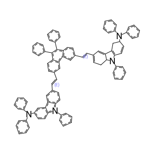 C1=CC(N(c2ccccc2)c2ccccc2)CC2=C1N(c1ccccc1)C1CC=C(/C=C/c3ccc4c(-c5ccccc5)c(-c5ccccc5)c5ccc(/C=C/c6ccc7c(c6)c6cc(N(c8ccccc8)c8ccccc8)ccc6n7-c6ccccc6)cc5c4c3)C=C21